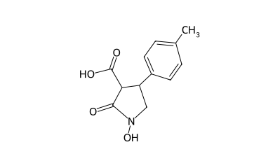 Cc1ccc(C2CN(O)C(=O)C2C(=O)O)cc1